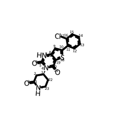 O=C1C[C@H](n2c(=O)[nH]c3cc(-c4ccccc4Cl)sc3c2=O)CCN1